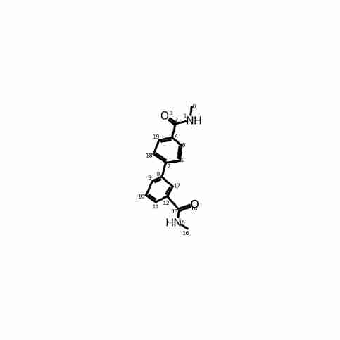 CNC(=O)c1ccc(-c2cccc(C(=O)NC)c2)cc1